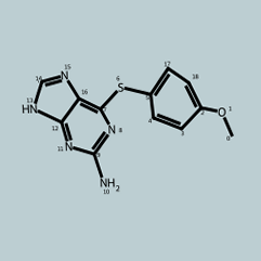 COc1ccc(Sc2nc(N)nc3[nH][c]nc23)cc1